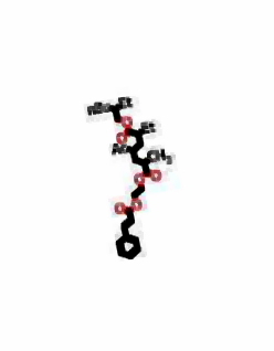 CCCCC(CC)COC(=O)C(CC)CC(CC(C)C(=O)OCCOC(=O)/C=C/c1ccccc1)C(C)=O